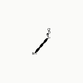 ClOOSC#CC#CC#CBr